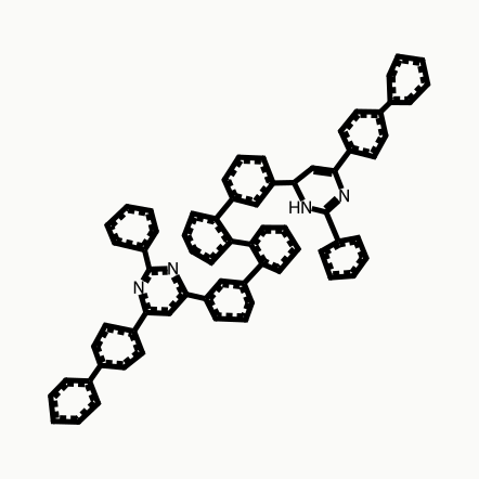 C1=C(c2ccc(-c3ccccc3)cc2)N=C(c2ccccc2)NC1c1cccc(-c2ccccc2-c2ccccc2-c2cccc(-c3cc(-c4ccc(-c5ccccc5)cc4)nc(-c4ccccc4)n3)c2)c1